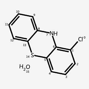 Clc1cccc2c1Nc1ccccc1S2.O